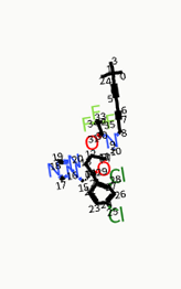 CC(C)(C)C#CC#CCN(C[C@H]1CC[C@](Cn2cncn2)(c2ccc(Cl)cc2Cl)O1)C(=O)C(F)(F)F